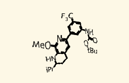 COc1nc(-c2cc(NC(=O)OC(C)(C)C)cc(C(F)(F)F)c2)cc2c1NC(C(C)C)CC2